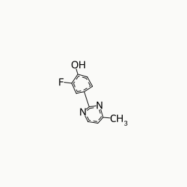 Cc1ccnc(-c2ccc(O)c(F)c2)n1